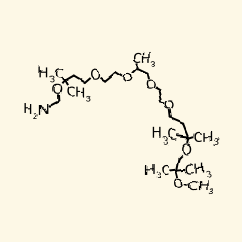 COC(C)(C)COC(C)(C)CCOCCOCC(C)OCCOCCC(C)(C)OCN